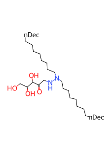 CCCCCCCCCCCCCCCCCCN(CCCCCCCCCCCCCCCCCC)NCC(=O)C(O)[C@@H](O)CO